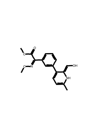 CON=C(C(=O)OC)c1cccc(C2=CC=C(C)NC2=CO)c1